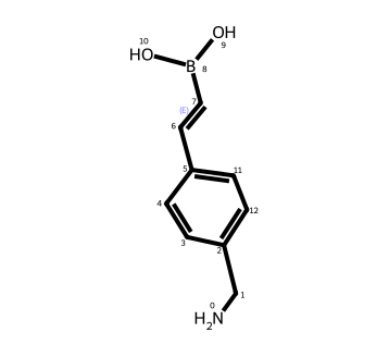 NCc1ccc(/C=C/B(O)O)cc1